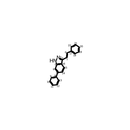 C(=Cc1n[nH]c2cc(-c3ccccc3)ccc12)c1ccccc1